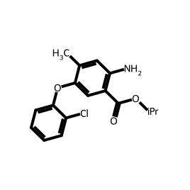 Cc1cc(N)c(C(=O)OC(C)C)cc1Oc1ccccc1Cl